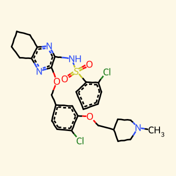 CN1CCC(COc2cc(COc3nc4c(nc3NS(=O)(=O)c3ccccc3Cl)CCCC4)ccc2Cl)CC1